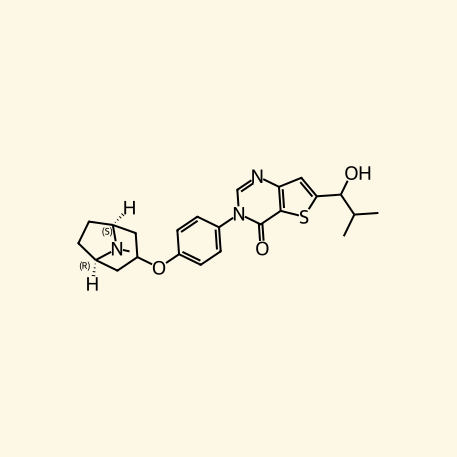 CC(C)C(O)c1cc2ncn(-c3ccc(OC4C[C@H]5CC[C@@H](C4)N5C)cc3)c(=O)c2s1